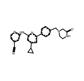 N#Cc1ccnc(Nc2cc(C3CC3)cc(-c3ccc(CN4CCNC(=O)C4)cc3)n2)c1